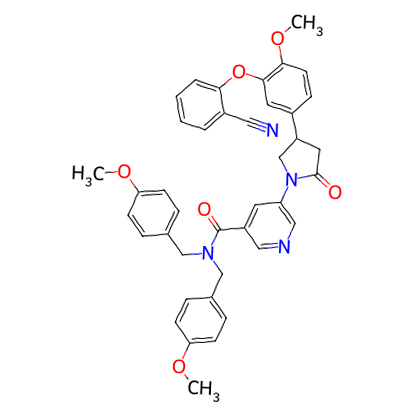 COc1ccc(CN(Cc2ccc(OC)cc2)C(=O)c2cncc(N3CC(c4ccc(OC)c(Oc5ccccc5C#N)c4)CC3=O)c2)cc1